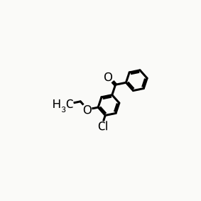 CCOc1cc(C(=O)c2ccccc2)ccc1Cl